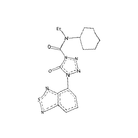 CCN(C(=O)n1nnn(-c2cccc3nsnc23)c1=O)C1CCCCC1